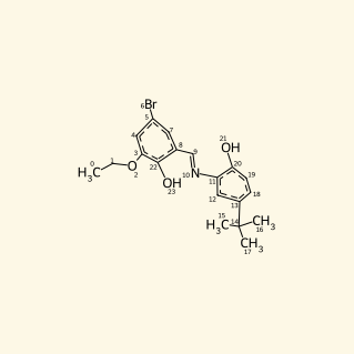 CCOc1cc(Br)cc(C=Nc2cc(C(C)(C)C)ccc2O)c1O